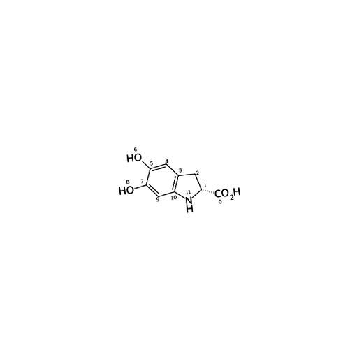 O=C(O)[C@H]1Cc2cc(O)c(O)cc2N1